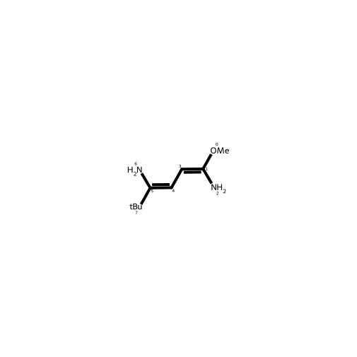 CO/C(N)=C/C=C(\N)C(C)(C)C